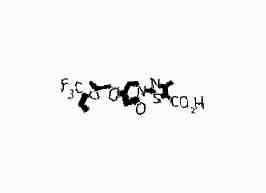 C=C(COc1ccn(-c2nc(C)c(C(=O)O)s2)c(=O)c1)O/C(=C\C)C(F)(F)F